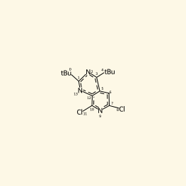 CC(C)(C)c1nc(C(C)(C)C)c2cc(Cl)nc(Cl)c2n1